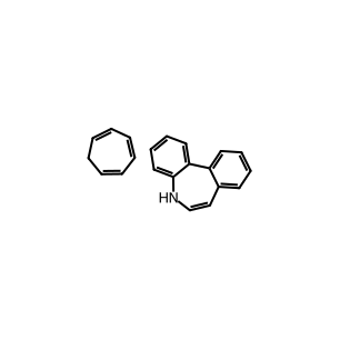 C1=CC=CCC=C1.C1=Cc2ccccc2-c2ccccc2N1